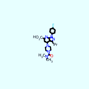 CC(C)c1nn(-c2ccc(F)cc2)c2nc(C(=O)O)cc(N3CCN(C(=O)N(C)C)CC3)c12